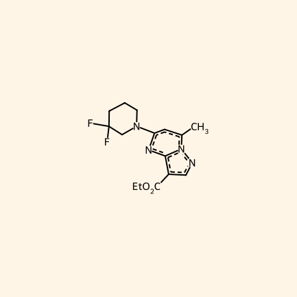 CCOC(=O)c1cnn2c(C)cc(N3CCCC(F)(F)C3)nc12